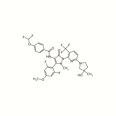 COc1cc(F)c(-c2c(NC(=O)c3ccc(OC(F)F)cc3)c(=O)n(-c3nc(N4CCC(C)(O)C4)ccc3C(F)(F)F)n2C)c(F)c1